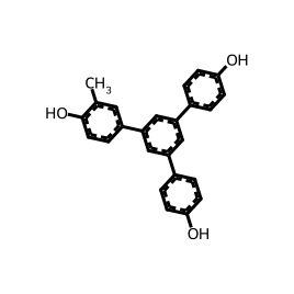 Cc1cc(-c2cc(-c3ccc(O)cc3)cc(-c3ccc(O)cc3)c2)ccc1O